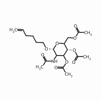 C=CCCCCO[C@@H]1OC(COC(C)=O)[C@H](OC(C)=O)C(OC(C)=O)C1NC(C)=O